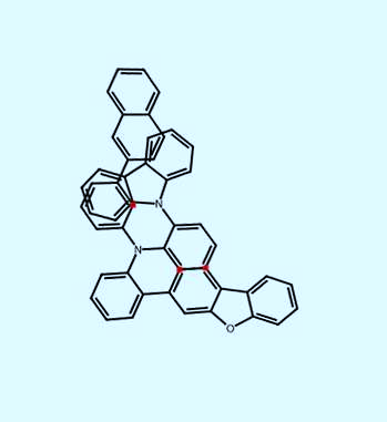 c1cc(-c2ccc3ccccc3c2)cc(N(c2ccccc2-c2ccc3c(c2)oc2ccccc23)c2ccccc2-n2c3ccccc3c3ccccc32)c1